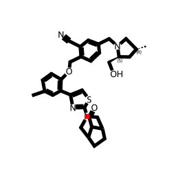 Cc1ccc(OCc2ccc(CN3C[C@H](C)C[C@H]3CO)cc2C#N)c(-c2csc(N3CC4CCC(C3)C4C=O)n2)c1